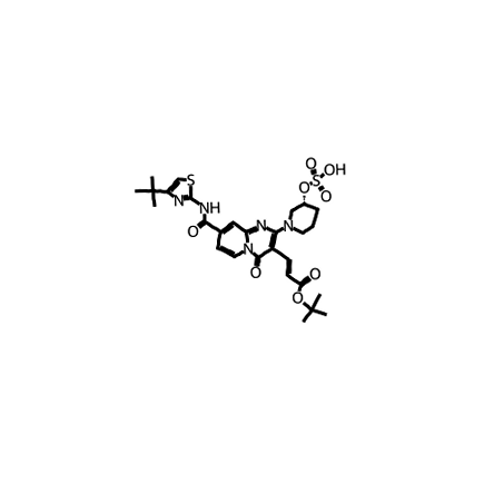 CC(C)(C)OC(=O)C=Cc1c(N2CCC[C@@H](OS(=O)(=O)O)C2)nc2cc(C(=O)Nc3nc(C(C)(C)C)cs3)ccn2c1=O